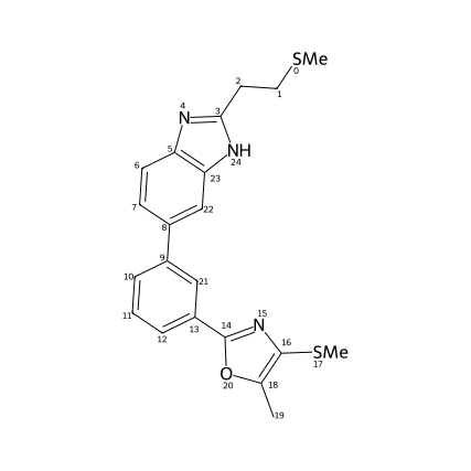 CSCCc1nc2ccc(-c3cccc(-c4nc(SC)c(C)o4)c3)cc2[nH]1